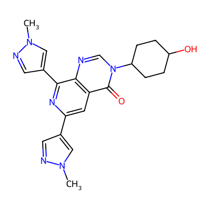 Cn1cc(-c2cc3c(=O)n(C4CCC(O)CC4)cnc3c(-c3cnn(C)c3)n2)cn1